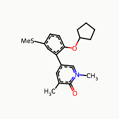 CSc1ccc(OC2CCCC2)c(-c2cc(C)c(=O)n(C)c2)c1